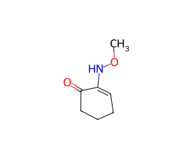 CONC1=CCCCC1=O